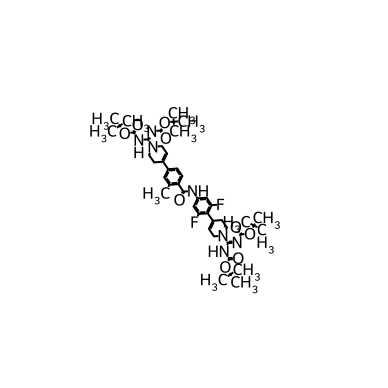 Cc1cc(C2=CCN(/C(=N\C(=O)OC(C)(C)C)NC(=O)OC(C)(C)C)CC2)ccc1C(=O)Nc1cc(F)c(C2=CCN(/C(=N\C(=O)OC(C)(C)C)NC(=O)OC(C)(C)C)CC2)c(F)c1